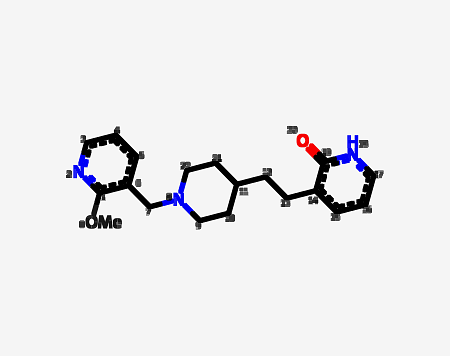 COc1ncccc1CN1CCC(CCc2ccc[nH]c2=O)CC1